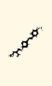 Nc1ccc(C=Cc2ccc(OCC(CO)CF)cc2)cc1